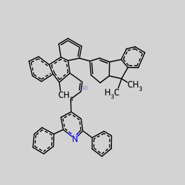 Cc1c(/C=C\Cc2cc(-c3ccccc3)nc(-c3ccccc3)c2)c2c(c3ccccc13)C=C=C=C2C1=CCC2C(=C1)c1ccccc1C2(C)C